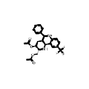 CC(=O)OC[C@H]1NC2c3cc(C(F)(F)F)ccc3NC(c3ccccc3)C2C[C@@H]1OC(C)=O